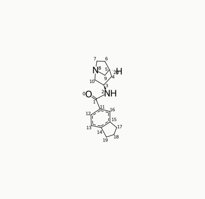 O=C(N[C@@H]1C[C@@H]2CCN(C2)C1)c1ccc2c(c1)CCC2